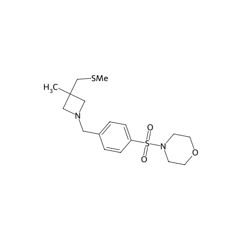 CSCC1(C)CN(Cc2ccc(S(=O)(=O)N3CCOCC3)cc2)C1